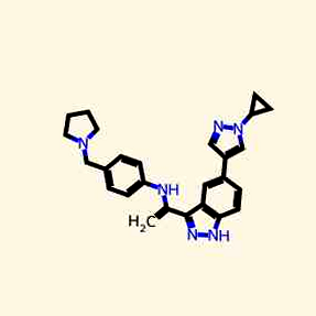 C=C(Nc1ccc(CN2CCCC2)cc1)c1n[nH]c2ccc(-c3cnn(C4CC4)c3)cc12